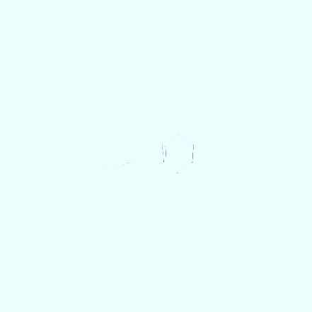 CCOCOc1cccc(C)c1